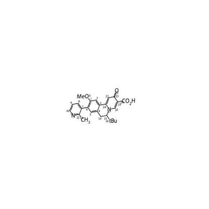 COc1cc2c(cc1-c1cccnc1C)CC(C(C)(C)C)n1cc(C(=O)O)c(=O)cc1-2